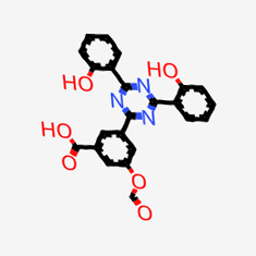 O=COc1cc(C(=O)O)cc(-c2nc(-c3ccccc3O)nc(-c3ccccc3O)n2)c1